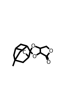 CC12CC3CCC(C1)C1(OC4COC(=O)C4O1)C(C3)C2